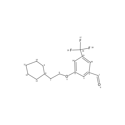 O=Cc1cc(OCCC2CCCCC2)cc(C(F)(F)F)c1